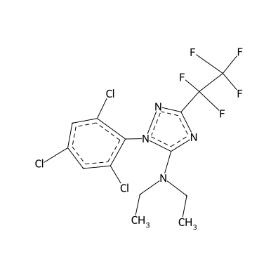 CCN(CC)c1nc(C(F)(F)C(F)(F)F)nn1-c1c(Cl)cc(Cl)cc1Cl